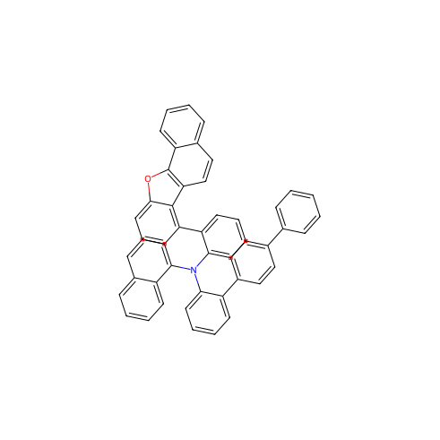 c1ccc(-c2ccc(-c3ccccc3N(c3ccccc3-c3cccc4oc5c6ccccc6ccc5c34)c3cccc4ccccc34)cc2)cc1